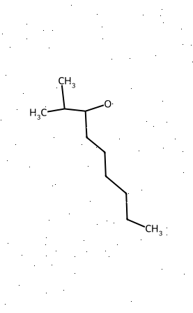 CCCCCCC([O])C(C)C